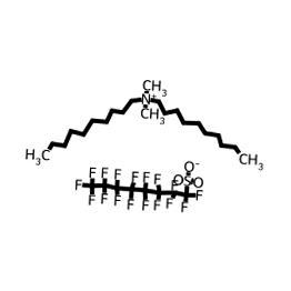 CCCCCCCCCC[N+](C)(C)CCCCCCCCCC.O=S(=O)([O-])C(F)(F)C(F)(F)C(F)(F)C(F)(F)C(F)(F)C(F)(F)C(F)(F)C(F)(F)F